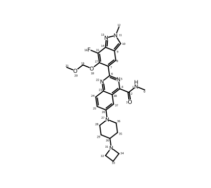 CNC(=O)c1nc(-c2cc3cn(C)nc3c(F)c2OCOC)nc2ccc(N3CCC(N4CCC4)CC3)cc12